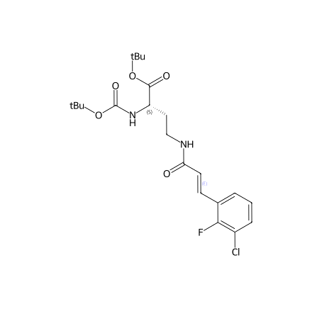 CC(C)(C)OC(=O)N[C@@H](CCNC(=O)/C=C/c1cccc(Cl)c1F)C(=O)OC(C)(C)C